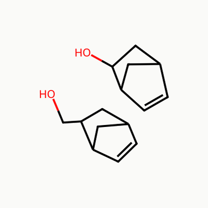 OC1CC2C=CC1C2.OCC1CC2C=CC1C2